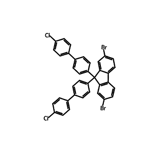 Clc1ccc(-c2ccc(C3(c4ccc(-c5ccc(Cl)cc5)cc4)c4cc(Br)ccc4-c4ccc(Br)cc43)cc2)cc1